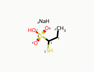 CCC(S)S(=O)(=O)O.[NaH]